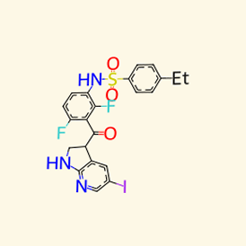 CCc1ccc(S(=O)(=O)Nc2ccc(F)c(C(=O)C3CNc4ncc(I)cc43)c2F)cc1